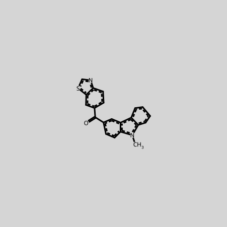 Cn1c2ccccc2c2cc(C(=O)c3ccc4ncsc4c3)ccc21